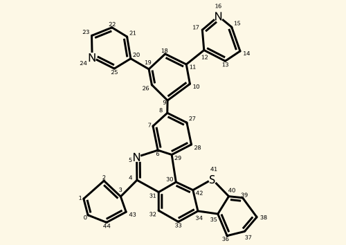 c1ccc(-c2nc3cc(-c4cc(-c5cccnc5)cc(-c5cccnc5)c4)ccc3c3c2ccc2c4ccccc4sc23)cc1